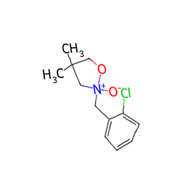 CC1(C)CO[N+]([O-])(Cc2ccccc2Cl)C1